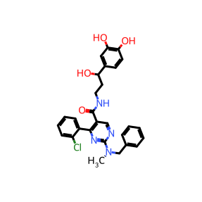 CN(Cc1ccccc1)c1ncc(C(=O)NCCC(O)c2ccc(O)c(O)c2)c(-c2ccccc2Cl)n1